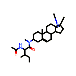 CCC(C)C(NC(C)=O)C(=O)N(C)C1CCC2(C)C(=CCC3C2CCC24CN(C)C(C)C2CCC34)C1